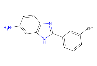 CCCc1cccc(-c2nc3ccc(N)cc3[nH]2)c1